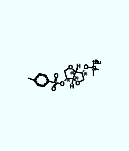 Cc1ccc(S(=O)(=O)O[C@@H]2CO[C@H]3[C@@H]2OC[C@H]3O[Si](C)(C)C(C)(C)C)cc1